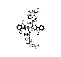 C[C@@H](NC(=O)CNC(=O)[C@H](Cc1c[nH]c2cccc(Cl)c12)NC(=O)[C@H](Cc1c[nH]c2ccccc12)NC(=O)[C@@H]1CSCN1C(=O)[C@H](N)CO)C(=O)O